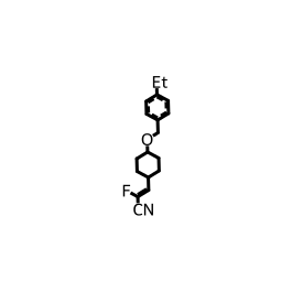 CCc1ccc(COC2CCC(C=C(F)C#N)CC2)cc1